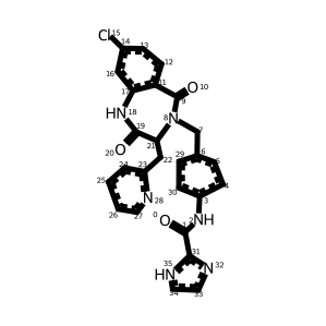 O=C(Nc1ccc(CN2C(=O)c3ccc(Cl)cc3NC(=O)C2Cc2ccccn2)cc1)c1ncc[nH]1